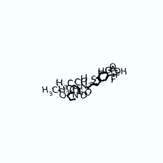 CCO[C@H]1CCN(C(=O)[C@@H](NC(=O)c2cc3cc(C(F)(F)P(=O)(O)O)ccc3s2)C(C)(C)C)[C@@H]1C